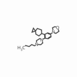 CCCCCN1CCN(c2ccc(N3CCOCC3)cc2C2CCC3(CC2)CC3)CC1